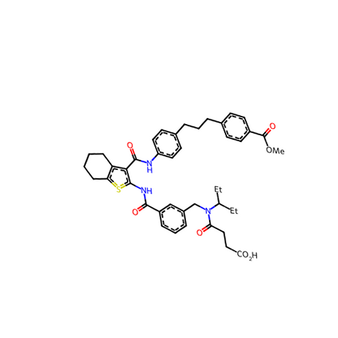 CCC(CC)N(Cc1cccc(C(=O)Nc2sc3c(c2C(=O)Nc2ccc(CCCc4ccc(C(=O)OC)cc4)cc2)CCCC3)c1)C(=O)CCC(=O)O